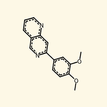 COc1ccc(-c2cc3ncccc3cn2)cc1OC